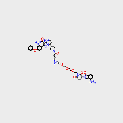 CN(C/C=C/C(=O)N1CCC([C@@H]2CCNc3c(C(N)=O)c(-c4ccc(Oc5ccccc5)cc4)nn32)CC1)CCOCCOCCOCCN1C(=O)CCC(N2Cc3c(N)cccc3C2=O)C1=O